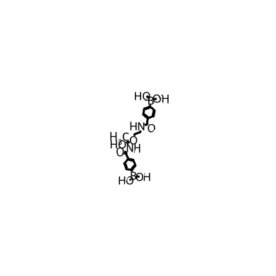 CC(O)(NC(=O)c1ccc(B(O)O)cc1)OCCNC(=O)c1ccc(B(O)O)cc1